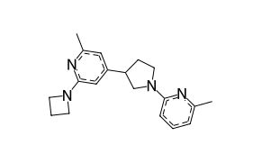 Cc1cc(C2CCN(c3cccc(C)n3)C2)cc(N2CCC2)n1